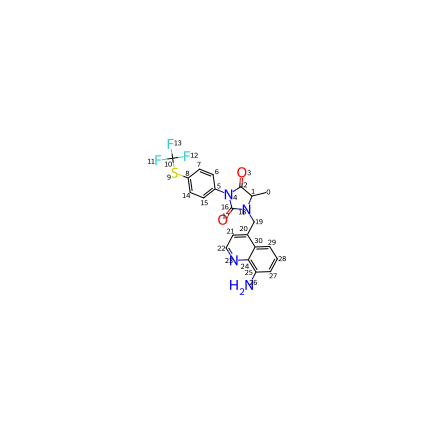 CC1C(=O)N(c2ccc(SC(F)(F)F)cc2)C(=O)N1Cc1ccnc2c(N)cccc12